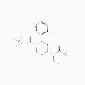 CCN(C(=O)C(F)(F)F)[C@H]1CCN(C(=O)OC(C)(C)C)[C@H](c2cc(F)ccc2F)C1